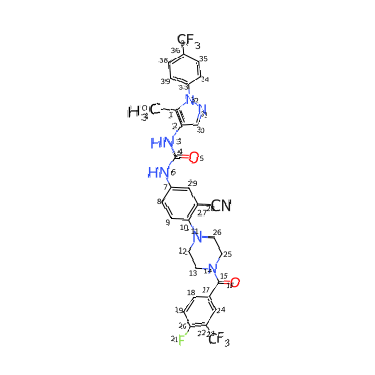 Cc1c(NC(=O)Nc2ccc(N3CCN(C(=O)c4ccc(F)c(C(F)(F)F)c4)CC3)c(C#N)c2)cnn1-c1ccc(C(F)(F)F)cc1